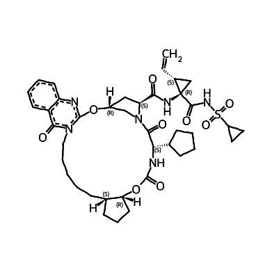 C=C[C@@H]1C[C@]1(NC(=O)[C@@H]1C[C@@H]2CN1C(=O)[C@H](C1CCCC1)NC(=O)O[C@@H]1CCC[C@@H]1CCCCCn1c(nc3ccccc3c1=O)O2)C(=O)NS(=O)(=O)C1CC1